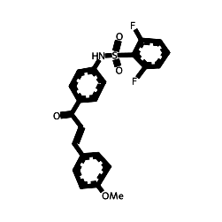 COc1ccc(C=CC(=O)c2ccc(NS(=O)(=O)c3c(F)cccc3F)cc2)cc1